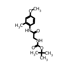 COc1ccc(NC(=O)CNC(=O)OC(C)(C)C)c(C)c1